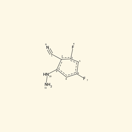 N#Cc1c(F)cc(F)cc1NN